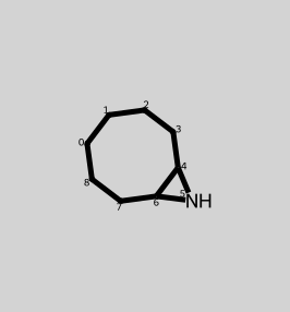 C1CCCC2NC2CC1